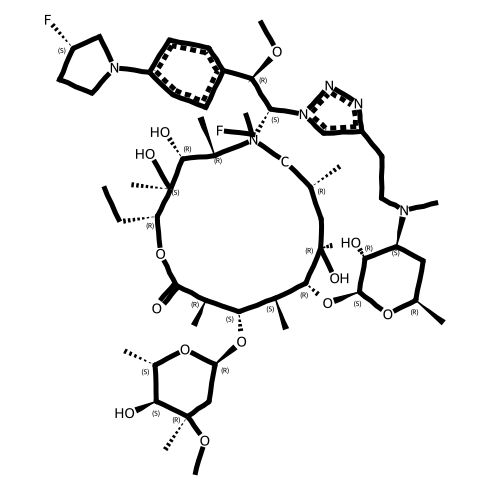 CC[C@H]1OC(=O)[C@H](C)[C@@H](O[C@H]2C[C@@](C)(OC)[C@@H](O)[C@H](C)O2)[C@H](C)[C@@H](O[C@@H]2O[C@H](C)C[C@H](N(C)CCc3cn([C@H](CF)[C@H](OC)c4ccc(N5CC[C@H](F)C5)cc4)nn3)[C@H]2O)[C@](C)(O)C[C@@H](C)CN(C)[C@H](C)[C@@H](O)[C@]1(C)O